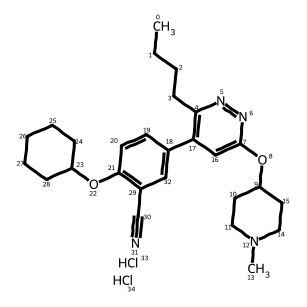 CCCCc1nnc(OC2CCN(C)CC2)cc1-c1ccc(OC2CCCCC2)c(C#N)c1.Cl.Cl